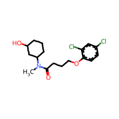 CN(C(=O)CCCOc1ccc(Cl)cc1Cl)C1CCCC(O)C1